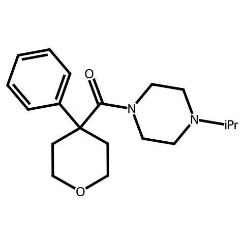 CC(C)N1CCN(C(=O)C2(c3ccccc3)CCOCC2)CC1